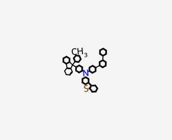 Cc1cccc(C2(c3ccc(N(c4ccc(-c5cccc(-c6ccccc6)c5)cc4)c4ccc5sc6ccccc6c5c4)cc3)C3=C(CCC=C3)c3ccccc32)c1